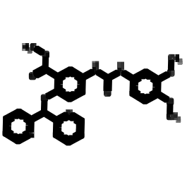 COC(=O)c1cc(NC(=O)Nc2ccc(OC)c(OC)c2)ccc1OC(c1ccccn1)c1ccccn1